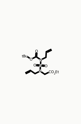 C=CCN(CC(=O)OCC)S(=O)(=O)N(CC=C)C(=O)OC(C)(C)C